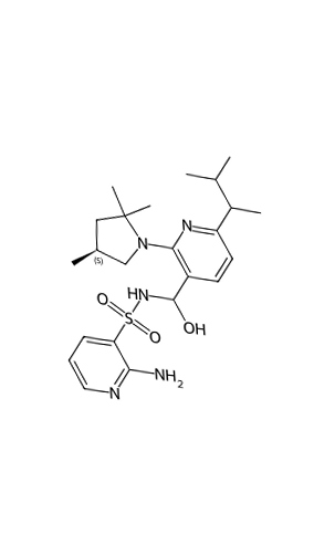 CC(C)C(C)c1ccc(C(O)NS(=O)(=O)c2cccnc2N)c(N2C[C@@H](C)CC2(C)C)n1